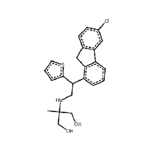 CC(CO)(CO)NCC(c1cccs1)c1cccc2c1Cc1ccc(Cl)cc1-2